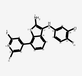 Nc1sc2c(-c3cc(F)nc(F)c3)cccc2c1Nc1ccc(F)c(Cl)c1